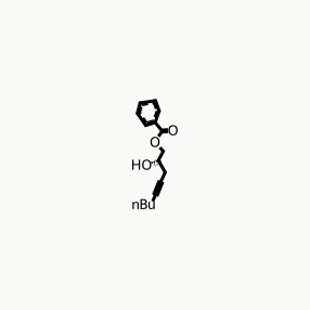 CCCCC#CC[C@H](O)COC(=O)c1ccccc1